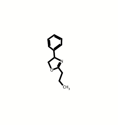 CCCC1=NC(c2ccccc2)CO1